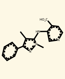 Cc1c(-c2ccccc2)nn(C)c1Nc1cnccc1C(=O)O